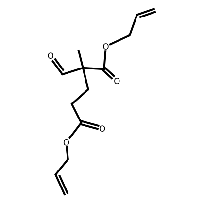 C=CCOC(=O)CCC(C)(C=O)C(=O)OCC=C